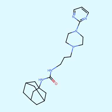 O=C(NCCCN1CCN(c2ncccn2)CC1)NC12CC3CC(CC(C3)C1)C2